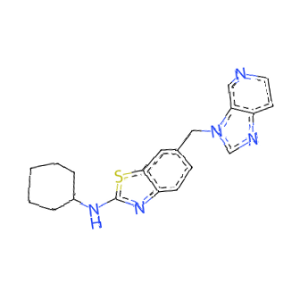 c1cc2ncn(Cc3ccc4nc(NC5CCCCC5)sc4c3)c2cn1